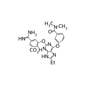 CCc1nc2c(Oc3cccc(C(=O)N(C)C)c3)nc(Oc3cc(C(=N)N)ccc3C(=O)O)nc2[nH]1